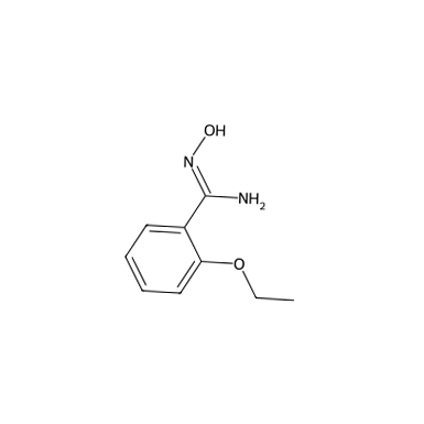 CCOc1ccccc1/C(N)=N/O